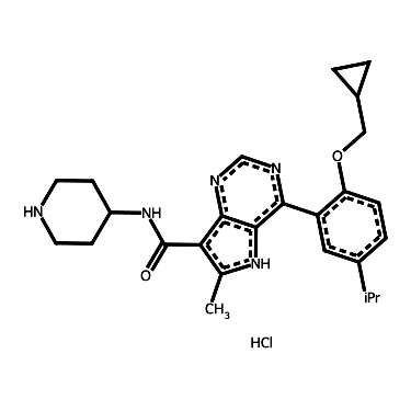 Cc1[nH]c2c(-c3cc(C(C)C)ccc3OCC3CC3)ncnc2c1C(=O)NC1CCNCC1.Cl